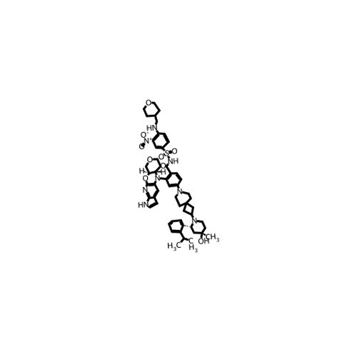 CC(C)c1ccccc1[C@H]1C[C@@](C)(O)CCN1C1CC2(CCN(c3ccc(C(=O)NS(=O)(=O)c4ccc(NCC5CCOCC5)c([N+](=O)[O-])c4)c(N4c5cc6cc[nH]c6nc5O[C@H]5COCC[C@@H]54)c3)CC2)C1